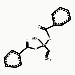 C=C[Si](CCCC)(OC(=O)c1ccccc1)OC(=O)c1ccccc1